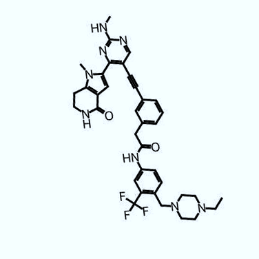 CCN1CCN(Cc2ccc(NC(=O)Cc3cccc(C#Cc4cnc(NC)nc4-c4cc5c(n4C)CCNC5=O)c3)cc2C(F)(F)F)CC1